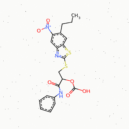 CCCc1cc2sc(SCC(OC(=O)O)C(=O)Nc3ccccc3)nc2cc1[N+](=O)[O-]